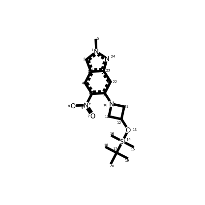 Cn1cc2cc([N+](=O)[O-])c(N3CC(O[Si](C)(C)C(C)(C)C)C3)cc2n1